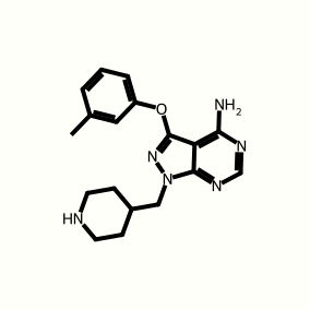 Cc1cccc(Oc2nn(CC3CCNCC3)c3ncnc(N)c23)c1